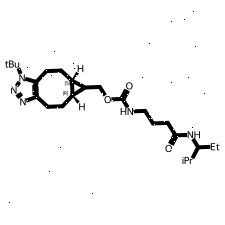 CCC(NC(=O)CCCNC(=O)OCC1[C@H]2CCc3c(nnn3C(C)(C)C)CC[C@@H]12)C(C)C